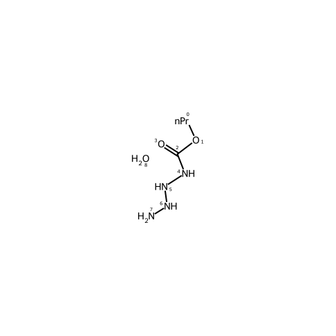 CCCOC(=O)NNNN.O